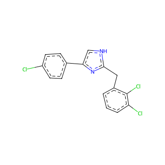 Clc1ccc(-c2c[nH]c(Cc3cccc(Cl)c3Cl)n2)cc1